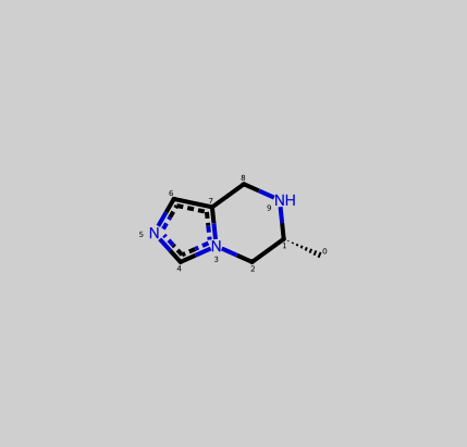 C[C@@H]1Cn2cncc2CN1